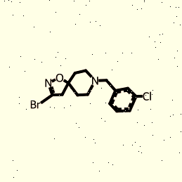 Clc1cccc(CN2CCC3(CC2)CC(Br)=NO3)c1